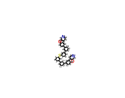 c1cc(Sc2cccc(-c3cccc(-c4ccc5oc6cnccc6c5c4)c3)c2)cc(-c2cccc(-c3ccc4oc5cnccc5c4c3)c2)c1